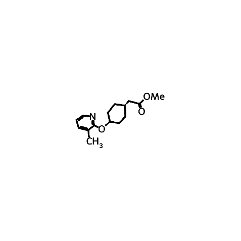 COC(=O)C[C@H]1CC[C@@H](Oc2ncccc2C)CC1